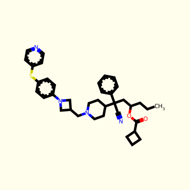 CCCC(CC(C#N)(c1ccccc1)C1CCN(CC2CN(c3ccc(Sc4ccncc4)cc3)C2)CC1)OC(=O)C1CCC1